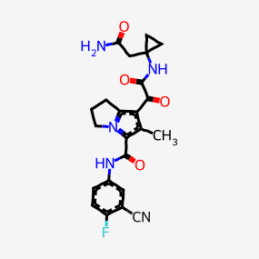 Cc1c(C(=O)C(=O)NC2(CC(N)=O)CC2)c2n(c1C(=O)Nc1ccc(F)c(C#N)c1)CCC2